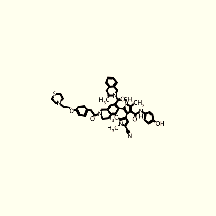 Cc1c(-c2c(C(=O)Nc3ccc(O)cc3)c(C)n(C)c2-c2cc3c(cc2C(=O)N2Cc4ccccc4C[C@H]2C)CN(C(=O)Cc2ccc(OCCN4CCSCC4)cc2)CC3)cc(C#N)n1C